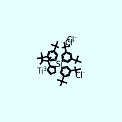 CCC(C)C1=C([Si](c2cc(C(C)(C)C)cc(C(C)(C)C)c2)(c2cc(C(C)(C)C)cc(C(C)(C)C)c2)c2cc(C(C)(C)C)cc(C(C)(C)C)c2)CC=[C]1[Ti+3].[Cl-].[Cl-].[Cl-]